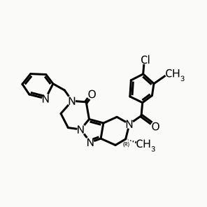 Cc1cc(C(=O)N2Cc3c(nn4c3C(=O)N(Cc3ccccn3)CC4)C[C@H]2C)ccc1Cl